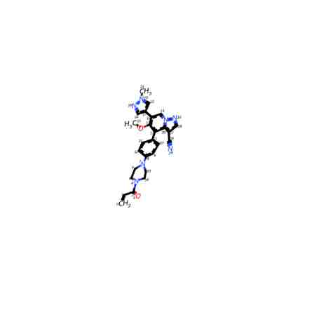 C=CC(=O)N1CCN(c2ccc(-c3c(OC)c(-c4cnn(C)c4)cn4ncc(C#N)c34)cc2)CC1